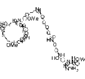 COc1cccc2cc(-c3nc([C@H]4CC[C@H](C(O)NCCOCCOCCNC(=O)CCOCCOCCOCCOCCn5cc(CCCCO[C@@H]6CC[C@@H](C[C@@H](N)[C@@H]7CC(=O)[C@H](C)/C=C(\C)[C@@H](O)[C@@H](OC)C(=O)[C@H](C)C[C@H](C)/C=C/C=C/C=C(\C)[C@@H](OC)C[C@@H]8CC[C@@H](C)[C@@](O)(O8)C(=O)C(=O)N8CCCC[C@H]8C(=O)O7)C[C@H]6OC)nn5)CC4)n4ncnc(N)c34)[nH]c12